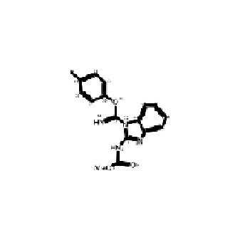 COC(=O)Nc1nc2ccccc2n1C(=N)Oc1ccc(C)cc1